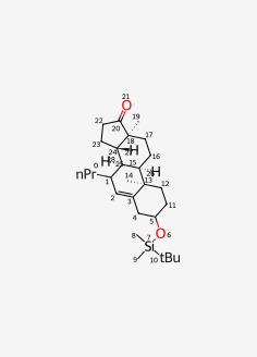 CCCC1C=C2CC(O[Si](C)(C)C(C)(C)C)CC[C@]2(C)[C@@H]2CC[C@]3(C)C(=O)CC[C@H]3[C@H]12